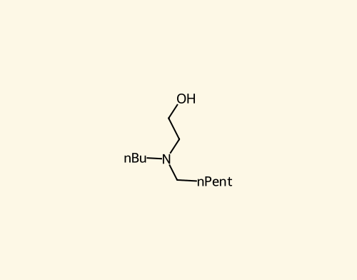 CCCCCCN(CCO)CCCC